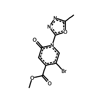 COC(=O)c1cc(=O)n(-c2nnc(C)o2)cc1Br